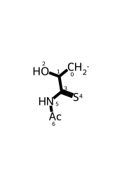 [CH2]C(O)C(=S)NC(C)=O